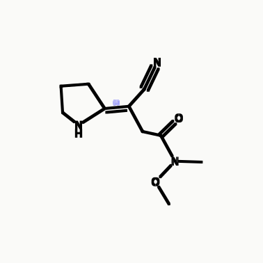 CON(C)C(=O)C/C(C#N)=C1/CCCN1